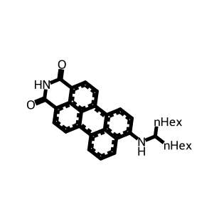 CCCCCCC(CCCCCC)Nc1ccc2c3ccc4c5c(ccc(c6cccc1c62)c53)C(=O)NC4=O